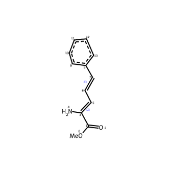 COC(=O)/C(N)=C/C=C/c1ccccc1